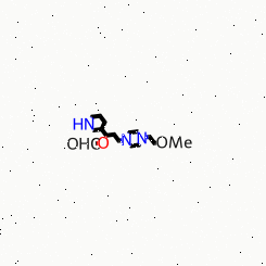 COCCN1CCN(CCC(OC=O)C2CCCNC2)CC1